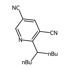 CCCCC(CCCC)c1ncc(C#N)cc1C#N